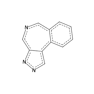 c1ccc2c3cnnc-3cncc2c1